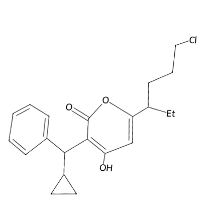 CCC(CCCCl)c1cc(O)c(C(c2ccccc2)C2CC2)c(=O)o1